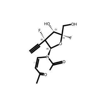 C#C[C@]1(F)[C@H](N(/C=C\C(C)=O)C(C)=O)O[C@](F)(CO)[C@H]1O